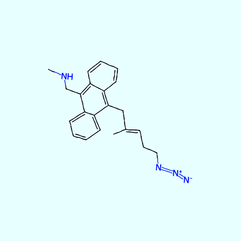 CNCc1c2ccccc2c(C/C(C)=C/CCN=[N+]=[N-])c2ccccc12